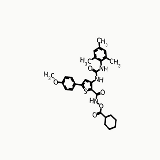 COc1ccc(-c2cc(NC(=O)Nc3c(C)cc(C)cc3C)c(C(=O)NOC(=O)C3CCCCC3)s2)cc1